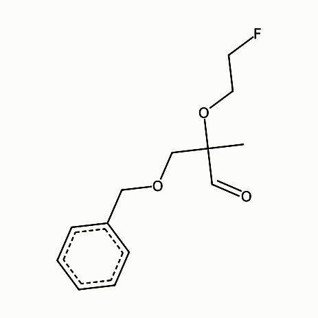 CC(C=O)(COCc1ccccc1)OCCF